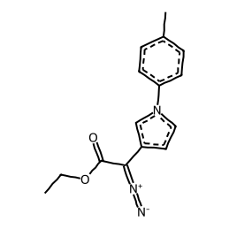 CCOC(=O)C(=[N+]=[N-])c1ccn(-c2ccc(C)cc2)c1